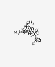 CCO/N=C(\C(=O)N[C@@H]1C(=O)N2C(C(=O)[O-])=C(Cn3cc(C#N)[n+]4ccccc34)CS[C@@H]12)c1nsc(N)n1